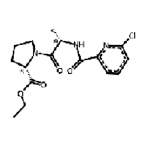 CCOC(=O)[C@@H]1CCCN1C(=O)[C@H](C)NC(=O)c1cccc(Cl)n1